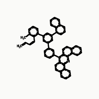 C=C/C=C\c1c(C)cccc1-c1cc(-c2cccc(-c3c4ccc5ccccc5c4nc4c3ccc3ccccc34)c2)cc(-c2cccc3ccccc23)c1